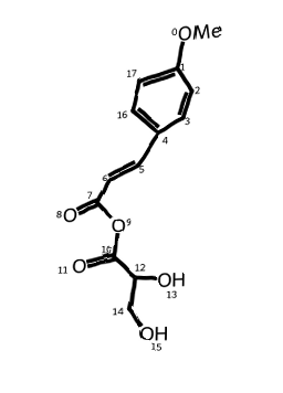 COc1ccc(/C=C/C(=O)OC(=O)C(O)CO)cc1